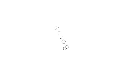 O=C(NC1CCC(N2CCCC2=O)CC1)c1ccc(-c2nccc3occc23)cc1